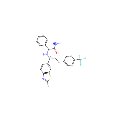 CNC(=O)C(N[C@H](CCc1ccc(C(F)(F)F)cc1)c1ccc2nc(C)sc2c1)c1ccccc1